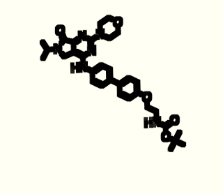 CC(C)N1Cc2c(Nc3ccc(-c4ccc(OCCNC(=O)OC(C)(C)C)cc4)cc3)nc(N3CCOCC3)nc2C1=O